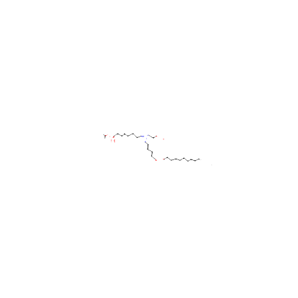 CCCCCCCCC(CCCCCCCC)OC(=O)CCCCCCCN(CCCO)CCCCCC(=O)OCCCCCCCCCCC(F)(F)F